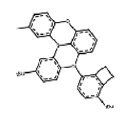 Cc1ccc2c(c1)B1c3cc(C(C)(C)C)ccc3N(c3ccc(C(C)(C)C)c4c3CC4)c3cccc(c31)O2